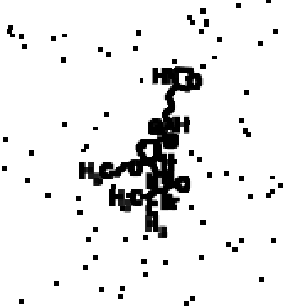 CCCOc1ccc(S(=O)(=O)NCCCC2COCCN2)cc1-c1nc(C(C)C)c(Br)c(=O)[nH]1